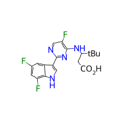 CC(C)(C)C(CC(=O)O)Nc1nc(-c2c[nH]c3c(F)cc(F)cc23)ncc1F